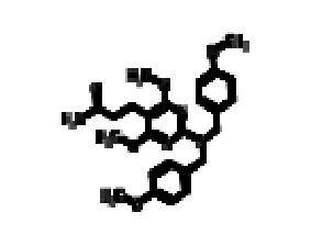 COc1ccc(CN(Cc2ccc(OC)cc2)c2nc(OC)c(CCC(N)=O)c(OC)n2)cc1